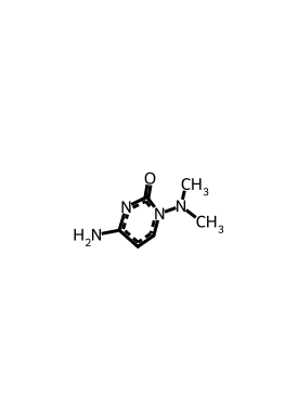 CN(C)n1ccc(N)nc1=O